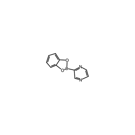 c1ccc2c(c1)OB(c1cnccn1)O2